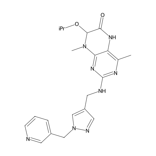 Cc1nc(NCc2cnn(Cc3cccnc3)c2)nc2c1NC(=O)C(OC(C)C)N2C